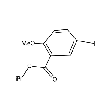 COc1ccc(I)cc1C(=O)OC(C)C